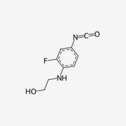 O=C=Nc1ccc(NCCO)c(F)c1